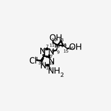 Nc1nc(Cl)c2ncn(C[C@@]3(CO)C[C@H]3CO)c2n1